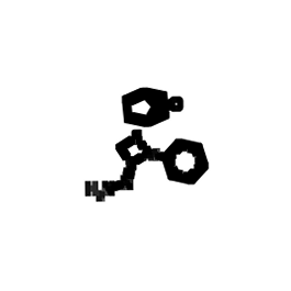 NN=S1CS[As]1c1ccccc1.O=C1C2=CC=C1C=C2